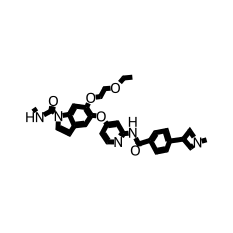 CCOCCOc1cc2c(ccn2C(=O)NC)cc1Oc1ccnc(NC(=O)c2ccc(C3CN(C)C3)cc2)c1